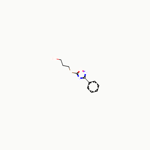 OCCCSc1nc(-c2ccccc2)no1